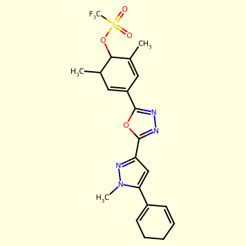 CC1=CC(c2nnc(-c3cc(C4=CCCC=C4)n(C)n3)o2)=CC(C)C1OS(=O)(=O)C(F)(F)F